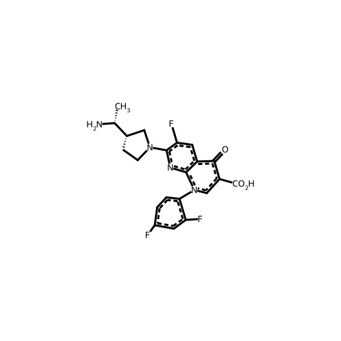 C[C@@H](N)[C@H]1CCN(c2nc3c(cc2F)c(=O)c(C(=O)O)cn3-c2ccc(F)cc2F)C1